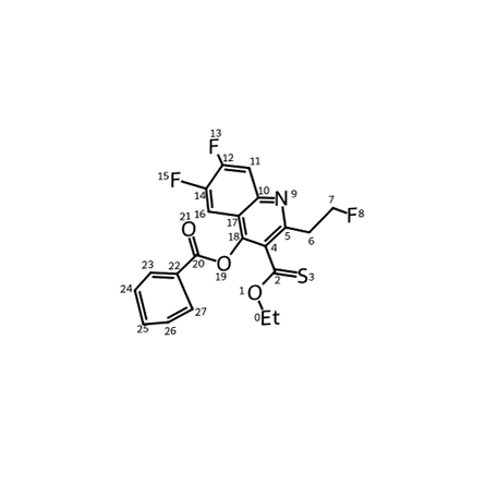 CCOC(=S)c1c(CCF)nc2cc(F)c(F)cc2c1OC(=O)c1ccccc1